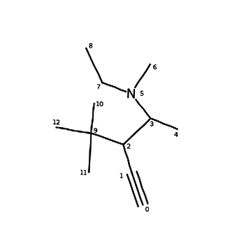 C#CC(C(C)N(C)CC)C(C)(C)C